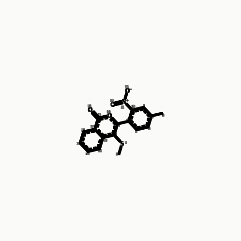 CSc1c(-c2ccc(C)cc2[N+](=O)[O-])oc(=O)c2ccccc12